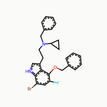 Fc1cc(Br)c2[nH]cc(CCN(Cc3ccccc3)C3CC3)c2c1OCc1ccccc1